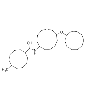 CC1CCCCC(C(O)NC2CCCCCC(OC3CCCCCCCCC3)CCCC2)CCCC1